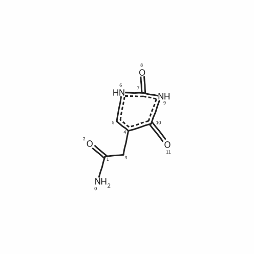 NC(=O)Cc1c[nH]c(=O)[nH]c1=O